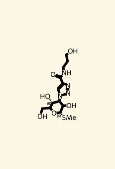 CS[C@@H]1OC(CO)[C@H](O)C(n2cc(C(=O)NCCCO)nn2)C1O